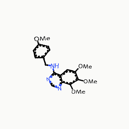 COc1ccc(CNc2ncnc3c(OC)c(OC)c(OC)cc23)cc1